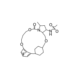 CC1CC(NS(C)(=O)=O)C2COC3CCC(CC3)c3cccc(c3F)OCCCOC(=O)N12